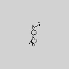 C[C@H]1CN(c2ccc(N=C=S)cc2)CCN1C